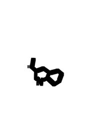 C=[C]c1cnc2ccccc2c1